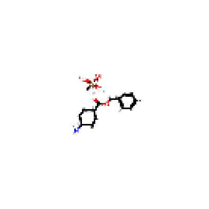 CS(=O)(=O)O.NC1CCC(C(=O)OCc2ccccc2)CC1